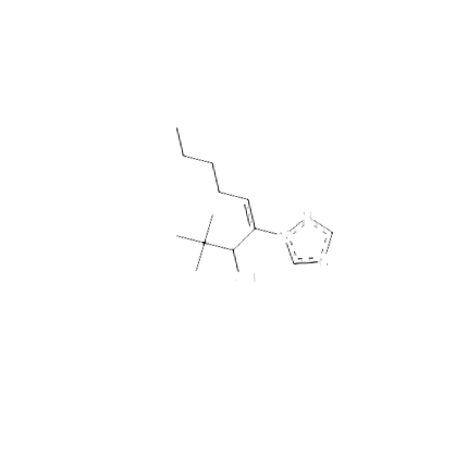 CCCCC=C(C(O)C(C)(C)C)n1cncn1